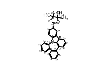 CC1(C)OB(C2C=Cc3c(c4cccc(-c5ccccc5)c4n3-c3ccccc3)C2)OC1(C)C